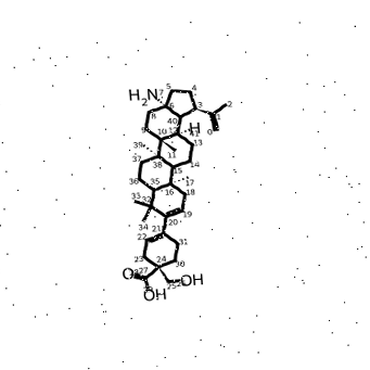 C=C(C)[C@@H]1CC[C@]2(N)CC[C@]3(C)[C@H](CCC4[C@@]5(C)CC=C(C6=CC[C@@](CO)(C(=O)O)CC6)C(C)(C)C5CC[C@]43C)C12